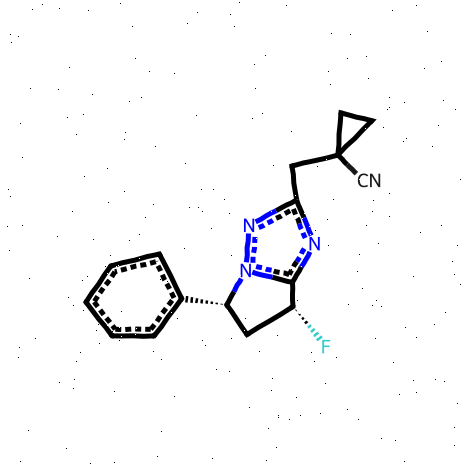 N#CC1(Cc2nc3n(n2)[C@@H](c2ccccc2)C[C@H]3F)CC1